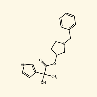 CC(O)(C(=O)OC1CCN(Cc2ccccc2)C1)c1cc[nH]c1